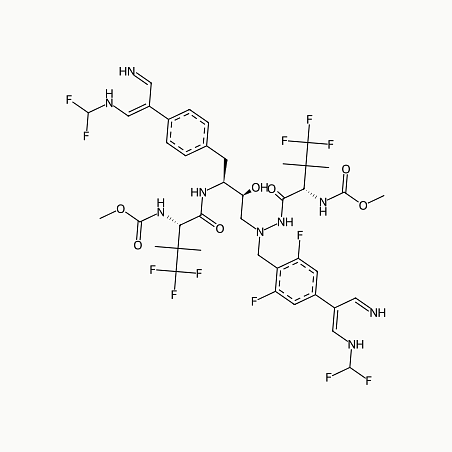 COC(=O)N[C@H](C(=O)N[C@@H](Cc1ccc(/C(C=N)=C/NC(F)F)cc1)[C@@H](O)CN(Cc1c(F)cc(/C(C=N)=C/NC(F)F)cc1F)NC(=O)[C@@H](NC(=O)OC)C(C)(C)C(F)(F)F)C(C)(C)C(F)(F)F